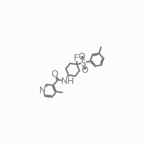 Cc1cccc(S(=O)(=O)C2(F)CCC(NC(=O)c3cnccc3C)CC2)c1